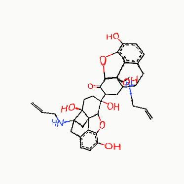 C=CCN[C@]12Cc3ccc(O)c4c3[C@@]3(C1)C(O4)C(O)(C1C[C@@]4(O)C5Cc6ccc(O)c7c6[C@@]4(CCN5CC=C)C(O7)C1=O)CC[C@@]23O